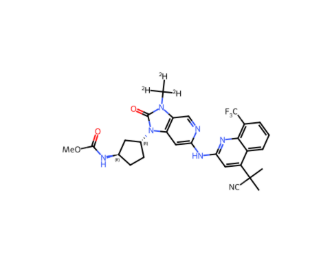 [2H]C([2H])([2H])n1c(=O)n([C@@H]2CC[C@@H](NC(=O)OC)C2)c2cc(Nc3cc(C(C)(C)C#N)c4cccc(C(F)(F)F)c4n3)ncc21